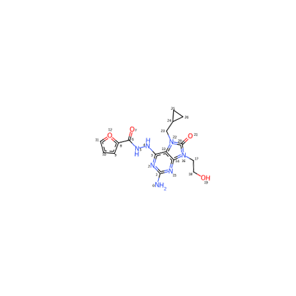 Nc1nc(NNC(=O)c2ccco2)c2c(n1)n(CCO)c(=O)n2CC1CC1